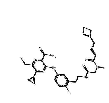 CCc1nc(C(N)=O)c(Nc2ccc(F)c(CCNC(=O)CN(C)C(=O)/C=C/CN3CCC3)c2)nc1C1CC1